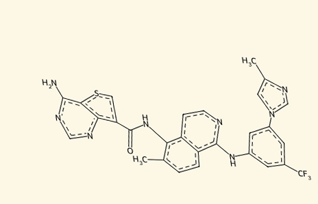 Cc1cn(-c2cc(Nc3nccc4c(NC(=O)c5csc6c(N)ncnc56)c(C)ccc34)cc(C(F)(F)F)c2)cn1